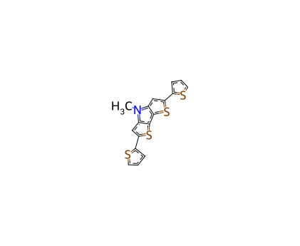 Cn1c2cc(-c3cccs3)sc2c2sc(-c3cccs3)cc21